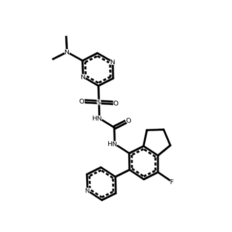 CN(C)c1cncc(S(=O)(=O)NC(=O)Nc2c(-c3ccncc3)cc(F)c3c2CCC3)n1